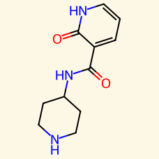 O=C(NC1CCNCC1)c1ccc[nH]c1=O